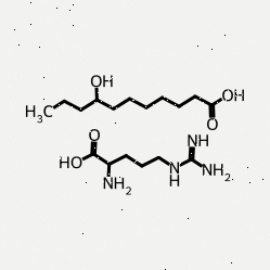 CCCC(O)CCCCCCC(=O)O.N=C(N)NCCCC(N)C(=O)O